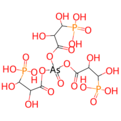 O=C(O[As](=O)(OC(=O)C(O)C(O)P(=O)(O)O)OC(=O)C(O)C(O)P(=O)(O)O)C(O)C(O)P(=O)(O)O